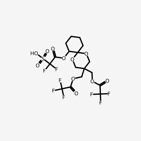 O=C(OCC1(COC(=O)C(F)(F)F)COC2(CCCCC2OC(=O)C(F)(F)S(=O)(=O)O)OC1)C(F)(F)F